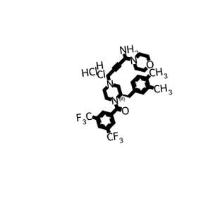 Cc1ccc(C[C@@H]2CN(CC#CC(N)N3CCOCC3)CCN2C(=O)c2cc(C(F)(F)F)cc(C(F)(F)F)c2)cc1C.Cl.Cl